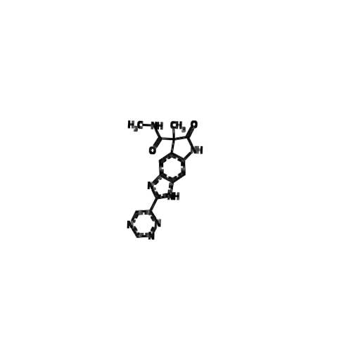 CNC(=O)C1(C)C(=O)Nc2cc3[nH]c(-c4cncnn4)nc3cc21